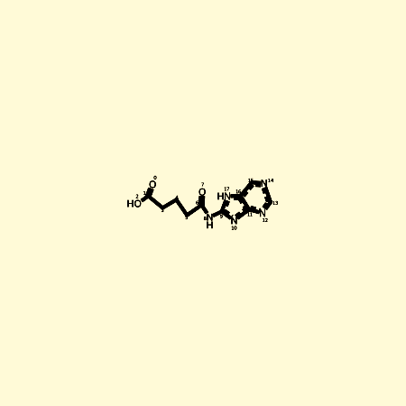 O=C(O)CCCC(=O)Nc1nc2ncncc2[nH]1